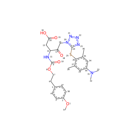 COc1ccc(CCOC(=O)NC(CC(=O)O)C(=O)Cn2nnnc2Sc2c(C)cc(N(C)C)cc2C)cc1